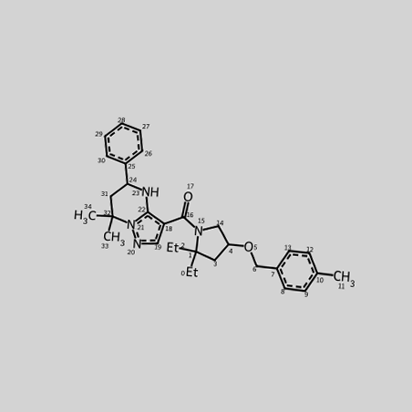 CCC1(CC)CC(OCc2ccc(C)cc2)CN1C(=O)c1cnn2c1NC(c1ccccc1)CC2(C)C